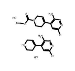 CC(C)(C)OC(=O)N1CC=C(c2cc(Cl)nnc2N)CC1.Cl.Cl.Nc1nnc(Cl)cc1C1=CCNCC1